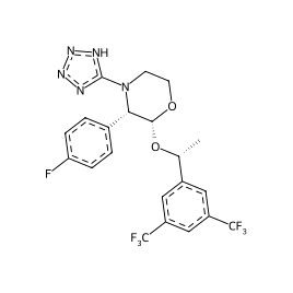 C[C@@H](O[C@H]1OCCN(c2nnn[nH]2)[C@H]1c1ccc(F)cc1)c1cc(C(F)(F)F)cc(C(F)(F)F)c1